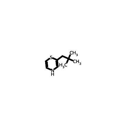 CC(C)(C)CC1=CNC=CS1